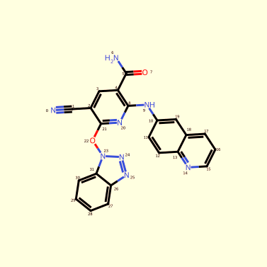 N#Cc1cc(C(N)=O)c(Nc2ccc3ncccc3c2)nc1On1nnc2ccccc21